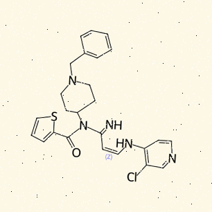 N=C(/C=C\Nc1ccncc1Cl)N(C(=O)c1cccs1)C1CCN(Cc2ccccc2)CC1